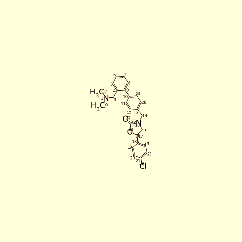 CN(C)Cc1ccccc1-c1ccc(CN2C[C@@H](c3ccc(Cl)cc3)OC2=O)cc1